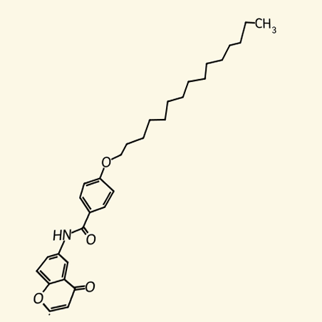 CCCCCCCCCCCCCCCOc1ccc(C(=O)Nc2ccc3o[c]cc(=O)c3c2)cc1